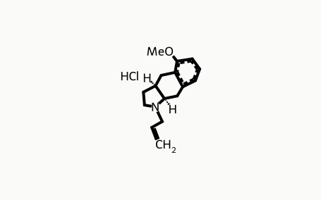 C=CCN1CC[C@H]2Cc3c(cccc3OC)C[C@H]21.Cl